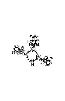 O=C(NCCN1CCCN(CCNC(=O)c2cccc(=O)n2O)CCN(CCNC(=O)c2cccc(=O)n2O)CCCNCC1)c1cccc(=O)n1O